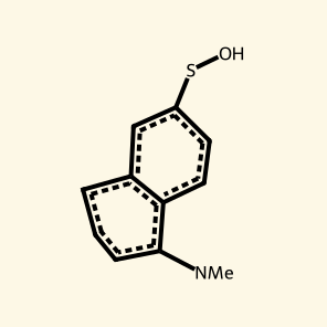 CNc1cccc2cc(SO)ccc12